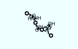 N=C(NC(=O)OCc1ccccc1)c1ccc(CNC(=O)c2ccc3c(c2)C[C@H](CC(=O)O)C(=O)N(CCc2ccccc2)C3)cc1